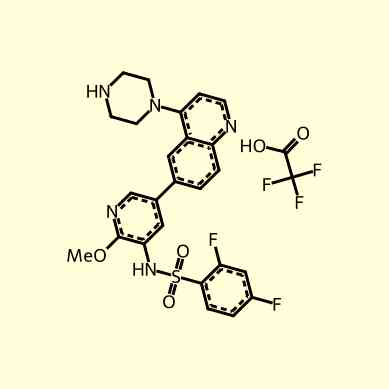 COc1ncc(-c2ccc3nccc(N4CCNCC4)c3c2)cc1NS(=O)(=O)c1ccc(F)cc1F.O=C(O)C(F)(F)F